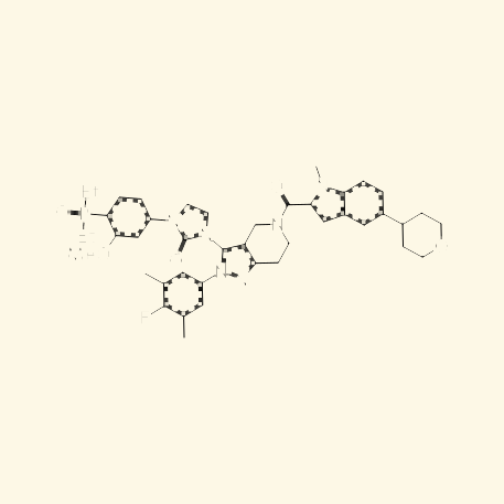 CCP(=O)(CC)c1ccc(-n2ccn(-c3c4c(nn3-c3cc(C)c(F)c(C)c3)CCN(C(=O)c3cc5cc(C6CCOCC6)ccc5n3C)[C@H]4C)c2=O)cc1OC